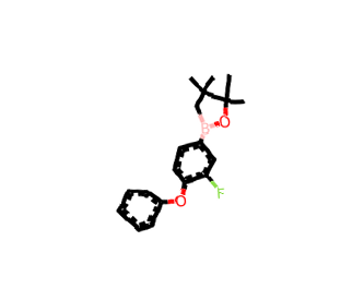 CC1(C)CB(c2ccc(Oc3ccccc3)c(F)c2)OC1(C)C